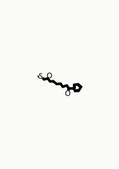 CSCC(=O)CCCCCCC(=O)c1ccccc1